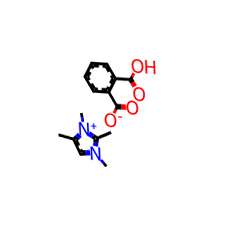 Cc1cn(C)c(C)[n+]1C.O=C([O-])c1ccccc1C(=O)O